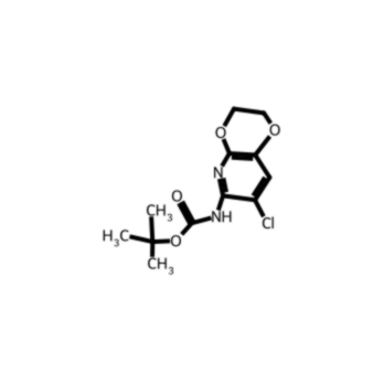 CC(C)(C)OC(=O)Nc1nc2c(cc1Cl)OCCO2